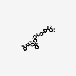 Nc1nnc(-c2ccccc2O)cc1N1CCC(C(=O)N2CCC3(CC2)CN(C(=O)CN2CCC(c4ccc(NC5CCC(=O)NC5=O)cc4)CC2)CCO3)(c2ccccc2)CC1